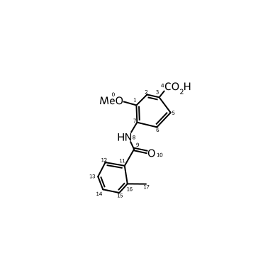 COc1cc(C(=O)O)ccc1NC(=O)c1ccccc1C